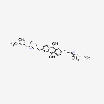 CC(C)=CCC/C(C)=C/CCc1ccc2c(O)c3cc(CC/C=C(\C)CCCC(C)C)ccc3c(O)c2c1